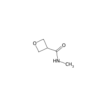 CNC(=O)C1COC1